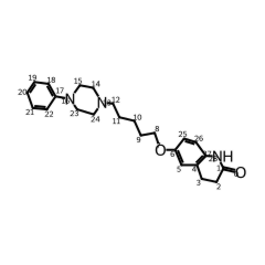 O=C1CCc2cc(OCCCCCN3CCN(c4ccccc4)CC3)ccc2N1